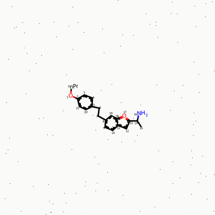 CCCOc1ccc(CCc2ccc3cc(C(C)N)oc3c2)cc1